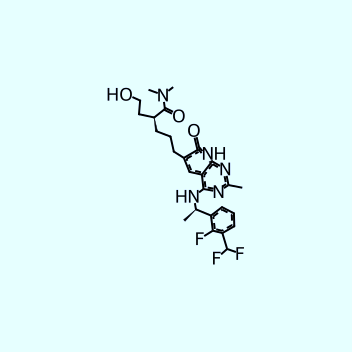 Cc1nc(N[C@H](C)c2cccc(C(F)F)c2F)c2cc(CCC[C@@H](CCO)C(=O)N(C)C)c(=O)[nH]c2n1